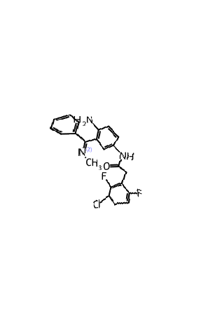 C/N=C(/c1ccccc1)c1cc(NC(=O)CC2=C(F)C(Cl)CC=C2F)ccc1N